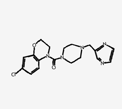 O=C(N1CCN(Cc2cnccn2)CC1)N1CCOc2cc(Cl)ccc21